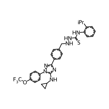 CC(C)c1ccccc1NC(=S)NNCc1ccc(-c2nc(NC3CC3)n(-c3ccc(OC(F)(F)F)cc3)n2)cc1